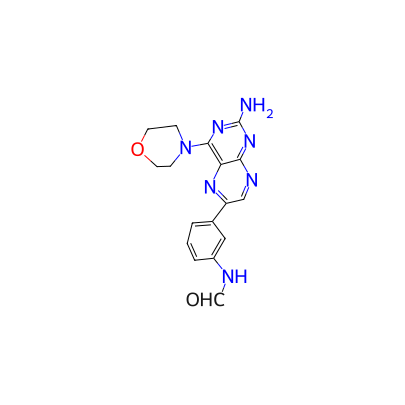 Nc1nc(N2CCOCC2)c2nc(-c3cccc(NC=O)c3)cnc2n1